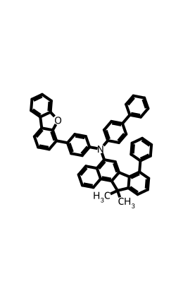 CC1(C)c2cccc(-c3ccccc3)c2-c2cc(N(c3ccc(-c4ccccc4)cc3)c3ccc(-c4cccc5c4oc4ccccc45)cc3)c3ccccc3c21